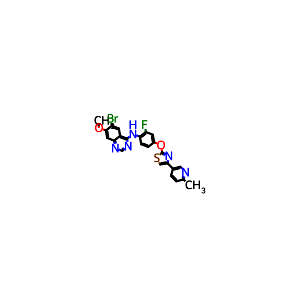 COc1cc2ncnc(Nc3ccc(Oc4nc(-c5ccc(C)nc5)cs4)cc3F)c2cc1Br